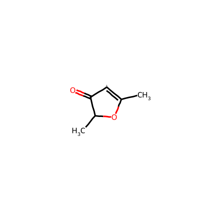 CC1=[C]C(=O)C(C)O1